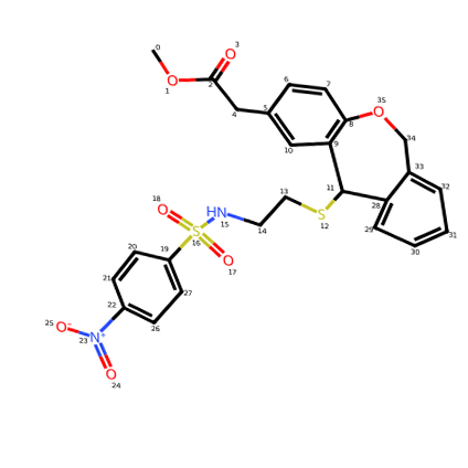 COC(=O)Cc1ccc2c(c1)C(SCCNS(=O)(=O)c1ccc([N+](=O)[O-])cc1)c1ccccc1CO2